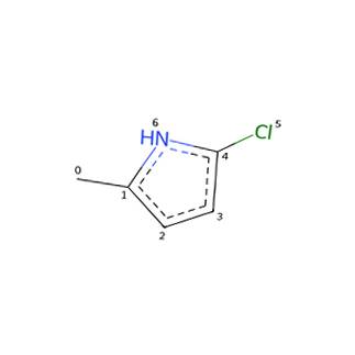 Cc1ccc(Cl)[nH]1